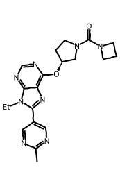 CCn1c(-c2cnc(C)nc2)nc2c(O[C@H]3CCN(C(=O)N4CCC4)C3)ncnc21